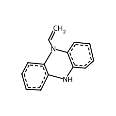 C=CN1c2ccccc2Nc2ccccc21